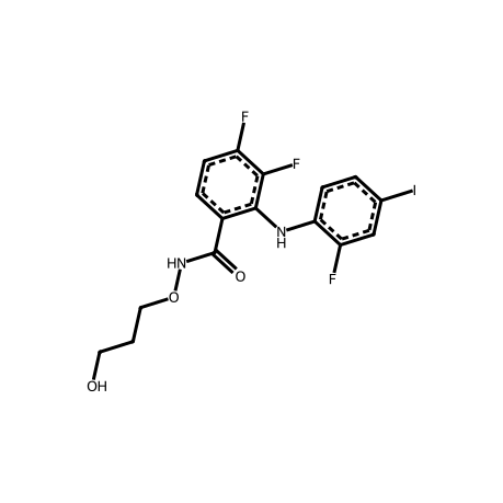 O=C(NOCCCO)c1ccc(F)c(F)c1Nc1ccc(I)cc1F